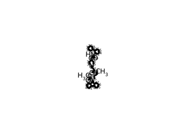 COC(=O)N(CCCN(C)C(=O)CCN1CCC(OC(=O)Nc2ccccc2-c2ccccc2)CC1)C1c2ccccc2-c2ccccc21